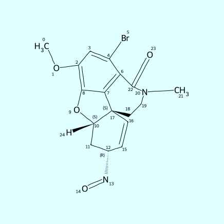 COc1cc(Br)c2c3c1O[C@H]1C[C@@H](N=O)C=C[C@@]31CCN(C)C2=O